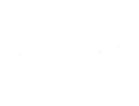 CN1NC(c2nc3cc(NCc4ccc(OCCOCCOCCN)cn4)ccc3o2)C=CC1=O